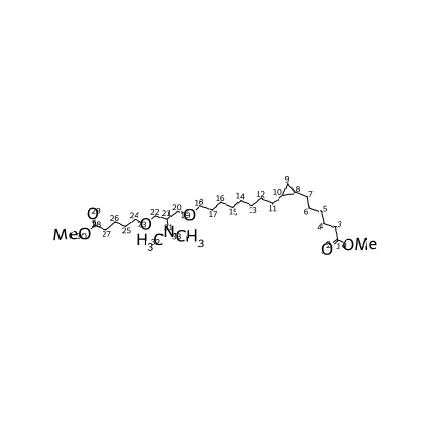 COC(=O)CCCCCC1CC1CCCCCCCCOCC(COCCCCC(=O)OC)N(C)C